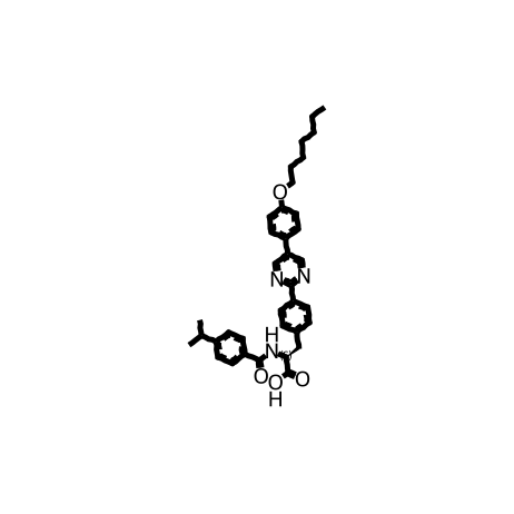 CCCCCCCOc1ccc(-c2cnc(-c3ccc(C[C@H](NC(=O)c4ccc(C(C)C)cc4)C(=O)O)cc3)nc2)cc1